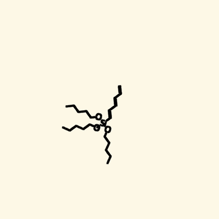 C=CC=CC=C[Si](OCCCCC)(OCCCCC)OCCCCC